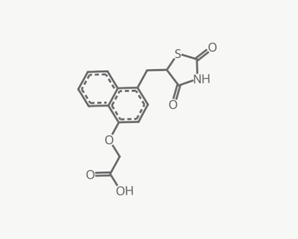 O=C(O)COc1ccc(CC2SC(=O)NC2=O)c2ccccc12